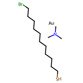 CN(C)C.SCCCCCCCCCCCBr.[Au]